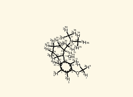 [2H]c1c([2H])c(OC([2H])([2H])[2H])c([2H])c([C@@]2(O)C([2H])([2H])C([2H])([2H])C([2H])([2H])C([2H])([2H])[C@]2([2H])C([2H])([2H])N(C([2H])([2H])[2H])C([2H])([2H])[2H])c1[2H]